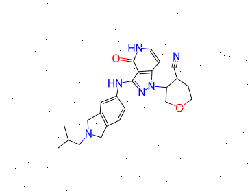 CC(C)CN1Cc2ccc(Nc3nn(C4COCCC4C#N)c4cc[nH]c(=O)c34)cc2C1